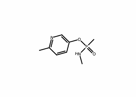 CNP(C)(=O)Oc1ccc(C)nc1